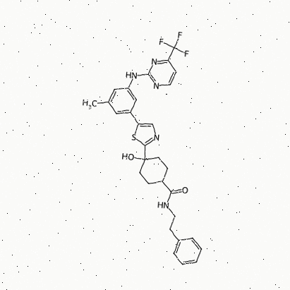 Cc1cc(Nc2nccc(C(F)(F)F)n2)cc(-c2cnc(C3(O)CCC(C(=O)NCCc4ccccc4)CC3)s2)c1